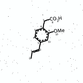 CC=Cc1ccc(CC(=O)O)c(OC)c1